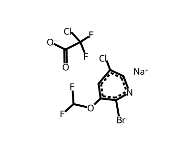 FC(F)Oc1cc(Cl)cnc1Br.O=C([O-])C(F)(F)Cl.[Na+]